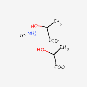 CC(O)C(=O)[O-].CC(O)C(=O)[O-].[NH4+].[Ti+]